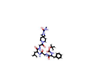 CNC(=O)N1CC2(CCN(C(=O)CNC(=O)C(CC(C)C)NC(=O)CNC(=O)C(Cc3ccccc3)NC(=O)OC(C)(C)C)CC2)C1